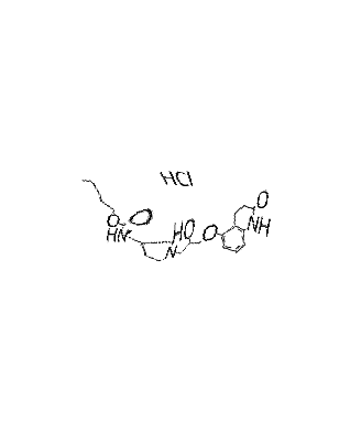 CCCCOC(=O)NC1CCN(CC(O)COc2cccc3c2CCC(=O)N3)CC1.Cl